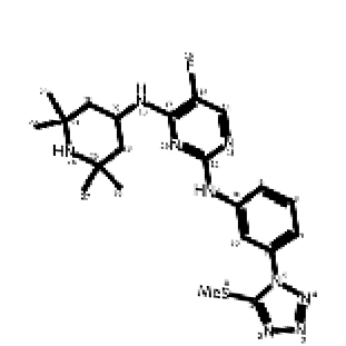 CSc1nnnn1-c1cccc(Nc2ncc(F)c(NC3CC(C)(C)NC(C)(C)C3)n2)c1